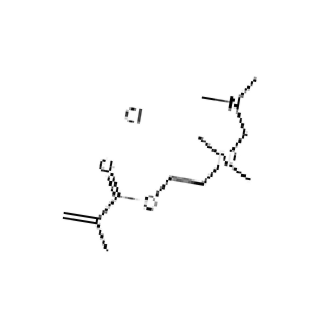 C=C(C)C(=O)OCC[N+](C)(C)CN(C)C.[Cl-]